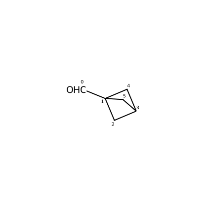 O=CC12CC(C1)C2